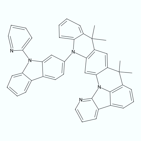 CC1(C)c2ccccc2N(c2ccc3c4ccccc4n(-c4ccccn4)c3c2)c2cc3c(cc21)C(C)(C)c1cccc2c4cccnc4n-3c12